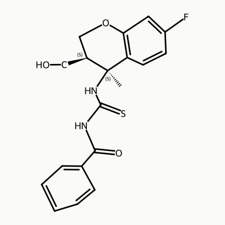 C[C@@]1(NC(=S)NC(=O)c2ccccc2)c2ccc(F)cc2OC[C@@H]1CO